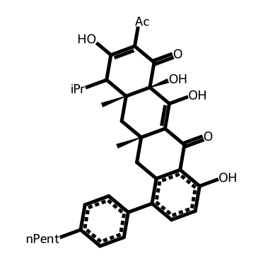 CCCCCc1ccc(-c2ccc(O)c3c2C[C@]2(C)C[C@]4(C)C(C(C)C)C(O)=C(C(C)=O)C(=O)[C@]4(O)C(O)=C2C3=O)cc1